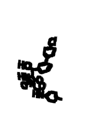 Cc1ccc(NC(=O)CN2C(=O)NC(C(O)c3cccc(-c4ccc(Cl)cc4)c3)C2=O)cc1